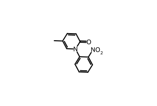 Cc1ccc(=O)n(-c2ccccc2[N+](=O)[O-])c1